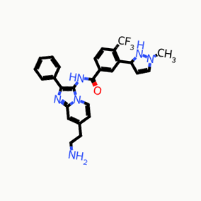 CN1C=CC(c2cc(C(=O)Nc3c(-c4ccccc4)nc4cc(CCN)ccn34)ccc2C(F)(F)F)N1